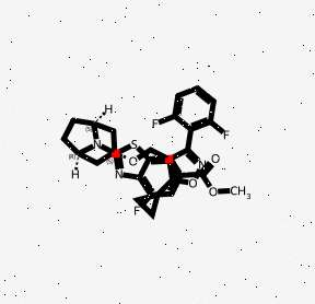 COC(=O)c1cc(F)c2nc(N3[C@@H]4CC[C@H]3C[C@H](OCc3c(-c5c(F)cccc5F)noc3C3CC3)C4)sc2c1